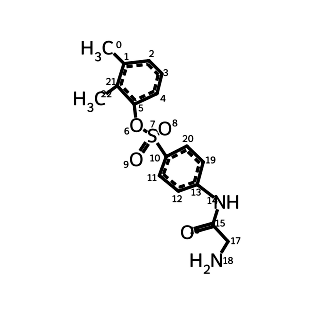 Cc1cccc(OS(=O)(=O)c2ccc(NC(=O)CN)cc2)c1C